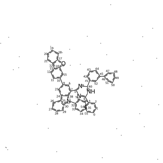 c1ccc(C2=NC(c3cc(-c4ccc5c(c4)oc4ccccc45)cc4c5ccccc5n(-c5ccccc5)c34)=NC(c3cccc(-c4ccccc4)c3)N2)cc1